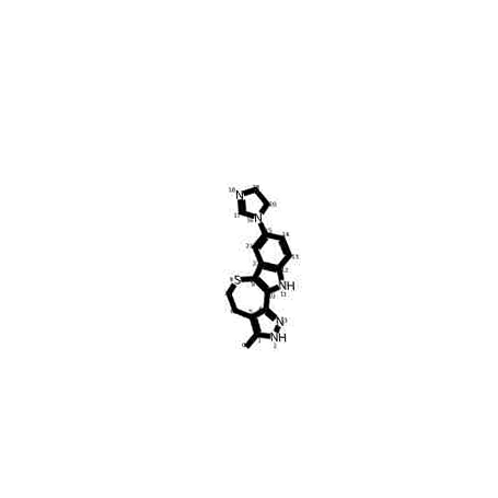 Cc1[nH]nc2c1CCSc1c-2[nH]c2ccc(N3C=NCC3)cc12